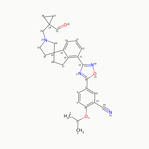 CC(C)Oc1ccc(-c2nc(-c3cccc4c3CCC43CCN(CC4(C=O)CC4)C3)no2)cc1C#N